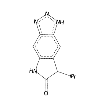 CC(C)C1C(=O)Nc2cc3nn[nH]c3cc21